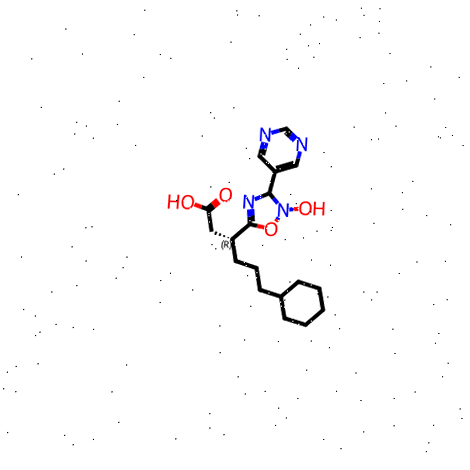 O=C(O)C[C@@H](CCCC1CCCCC1)C1=NC(c2cncnc2)N(O)O1